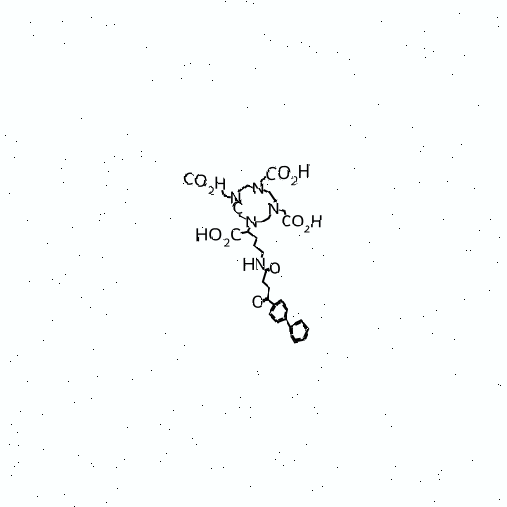 O=C(O)CN1CCN(CC(=O)O)CCN(C(CCCNC(=O)CCC(=O)c2ccc(-c3ccccc3)cc2)C(=O)O)CCN(CC(=O)O)CC1